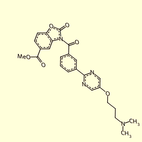 COC(=O)c1ccc2oc(=O)n(C(=O)c3cccc(-c4ncc(OCCCN(C)C)cn4)c3)c2c1